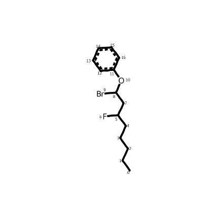 CCCCCC(F)CC(Br)Oc1ccccc1